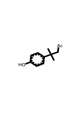 CC(=O)CC(C)(C)c1ccc(O)cc1